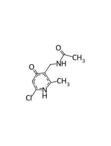 CC(=O)NCc1c(C)[nH]c(Cl)cc1=O